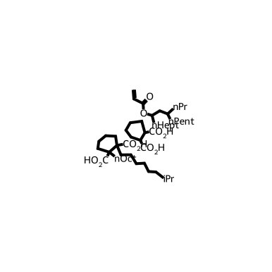 C=CC(=O)OC(CCCCCCC)CC(CCC)CCCCC.CCCCCCCCC1(C(=O)O)CCCCC1(CCCCCCC(C)C)C(=O)O.O=C(O)C1CCCCC1C(=O)O